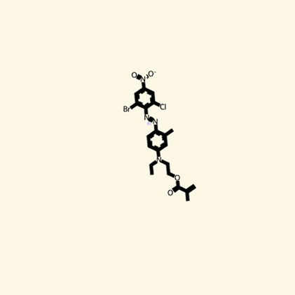 C=C(C)C(=O)OCCN(CC)c1ccc(/N=N/c2c(Cl)cc([N+](=O)[O-])cc2Br)c(C)c1